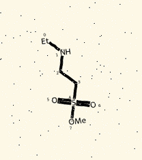 CCNCCS(=O)(=O)OC